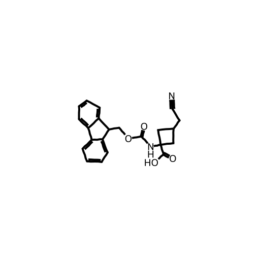 N#CCC1CC(NC(=O)OCC2c3ccccc3-c3ccccc32)(C(=O)O)C1